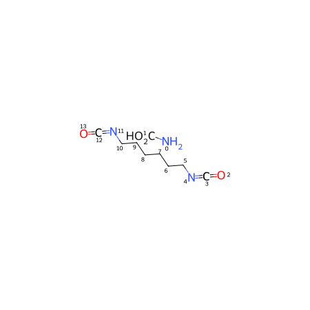 NC(=O)O.O=C=NCCCCCCN=C=O